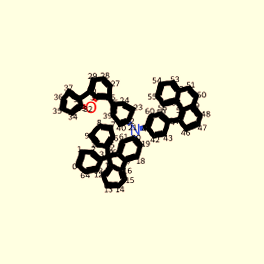 c1ccc(C2(c3ccccc3)c3ccccc3-c3ccc(N(c4ccc(-c5cccc6c5oc5ccccc56)cc4)c4ccc(-c5cccc6ccc7ccccc7c56)cc4)cc32)cc1